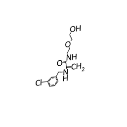 C=C(NCc1cccc(Cl)c1)C(=O)NCCOCCO